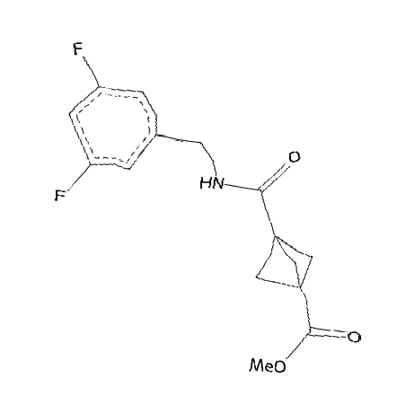 COC(=O)C12CC(C(=O)NCc3cc(F)cc(F)c3)(C1)C2